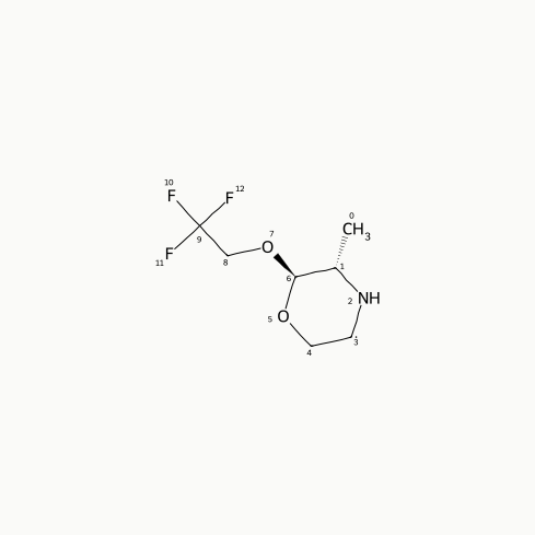 C[C@@H]1N[CH]CO[C@H]1OCC(F)(F)F